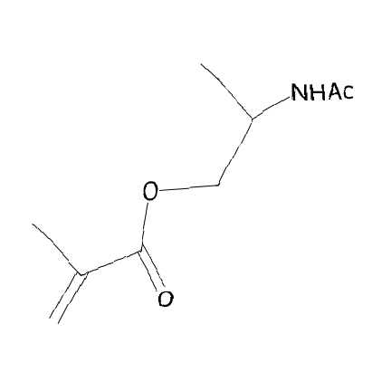 C=C(C)C(=O)OCC(C)NC(C)=O